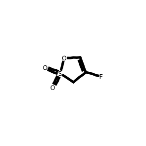 O=S1(=O)CC(F)=CO1